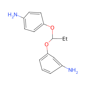 CCC(Oc1ccc(N)cc1)Oc1cccc(N)c1